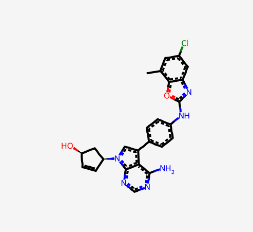 Cc1cc(Cl)cc2nc(Nc3ccc(-c4cn([C@H]5C=C[C@@H](O)C5)c5ncnc(N)c45)cc3)oc12